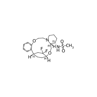 CS(=O)(=O)N[C@H]1CCCN2CCOc3ccccc3[C@H]3CC[C@@H](OC[C@@H]12)C(F)(F)C3